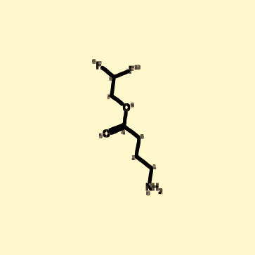 NCCCC(=O)OCC(F)F